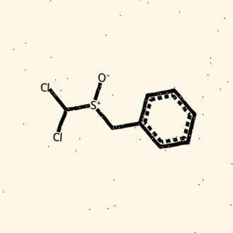 [O-][S+](Cc1ccccc1)C(Cl)Cl